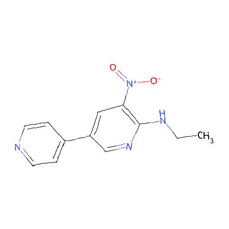 CCNc1ncc(-c2ccncc2)cc1[N+](=O)[O-]